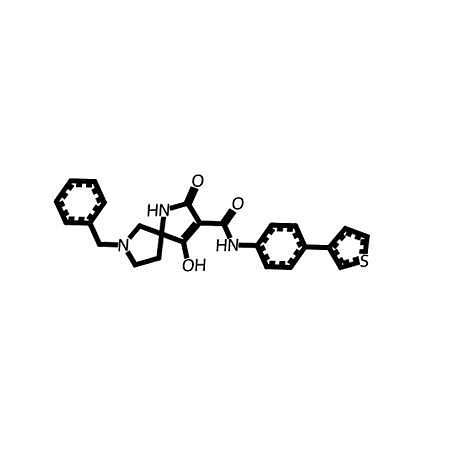 O=C(Nc1ccc(-c2ccsc2)cc1)C1=C(O)C2(CCN(Cc3ccccc3)C2)NC1=O